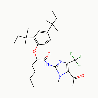 CCCCC(Oc1ccc(C(C)(C)CC)cc1C(C)(C)CC)C(=O)Nc1nc(C(F)(F)F)c(C(C)=O)n1C